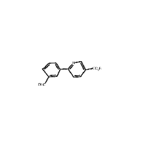 CCOC(=O)c1ccc(-c2cccc(C=O)c2)nc1